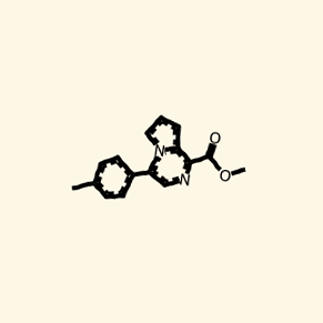 COC(=O)c1ncc(-c2ccc(C)cc2)n2cccc12